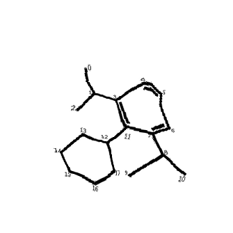 CC(C)c1cccc(C(C)C)c1C1CCCCC1